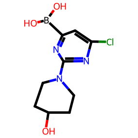 OB(O)c1cc(Cl)nc(N2CCC(O)CC2)n1